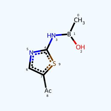 CB(O)Nc1ncc(C(C)=O)s1